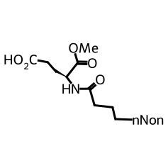 CCCCCCCCCCCCC(=O)N[C@@H](CCC(=O)O)C(=O)OC